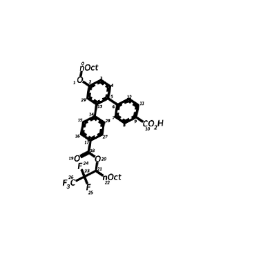 CCCCCCCCOc1ccc(-c2ccc(C(=O)O)cc2)c(-c2ccc(C(=O)OC(CCCCCCCC)C(F)(F)C(F)(F)F)cc2)c1